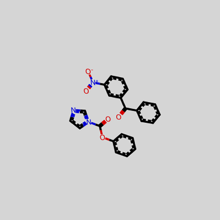 O=C(Oc1ccccc1)n1ccnc1.O=C(c1ccccc1)c1cccc([N+](=O)[O-])c1